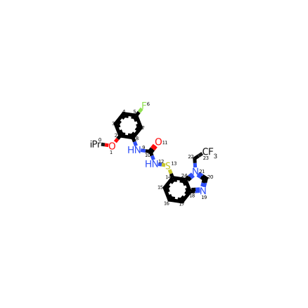 CC(C)Oc1ccc(F)cc1NC(=O)NSc1cccc2ncn(CC(F)(F)F)c12